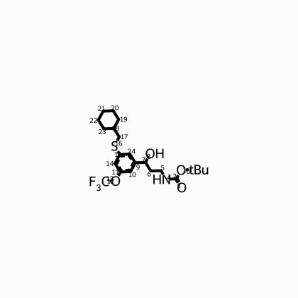 CC(C)(C)OC(=O)NCCC(O)c1cc(OC(F)(F)F)cc(SCC2CCCCC2)c1